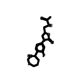 CC(=O)NCC1CN(c2ccc(C3CCCSCN3)c(F)c2)C(=O)O1